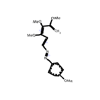 C=C(OC)\C(OC)=C(/C=C/N=N/c1ccc(OC)cc1)OC